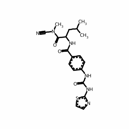 CC(C)CC(NC(=O)c1ccc(NC(=O)Nc2nccs2)cc1)C(=O)N(C)C#N